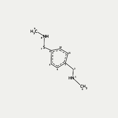 CNCc1ccc(SNC)cc1